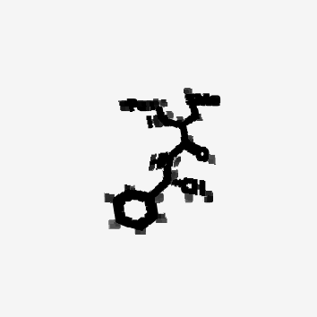 [CH2]SC[C@H](NCCCCC)C(=O)N[C@H](C)c1ccccc1